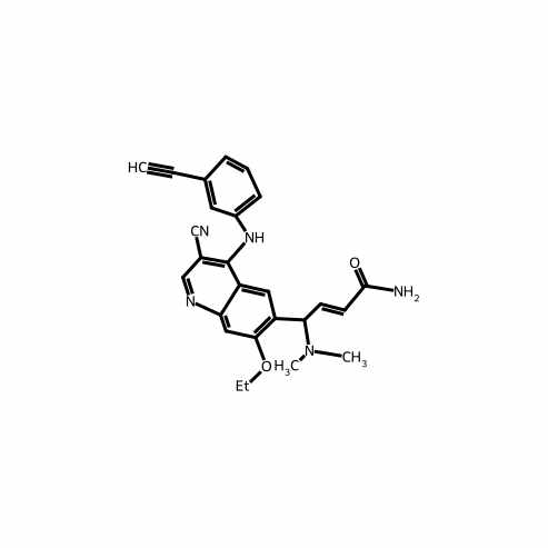 C#Cc1cccc(Nc2c(C#N)cnc3cc(OCC)c(C(C=CC(N)=O)N(C)C)cc23)c1